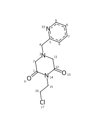 O=C1CN(Cc2ccccn2)CC(=O)N1CCCl